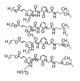 CCOC(=O)/C=C/CC[C@H](NC(=O)CCC(=O)O)C(=O)Nc1cccn(CC(=O)NCCN(CC)CC)c1=O.CCOC(=O)/C=C/CC[C@H](NC(C)=O)C(=O)Nc1cccn(CC(=O)NCCN(C)C)c1=O.COC(=O)/C=C/CC[C@H](NC(C)=O)C(=O)Nc1cccn(CC(=O)NCCC(C)C)c1=O.COC(=O)/C=C/CC[C@H](NC(C)=O)C(=O)Nc1cccn(CC(=O)NCCC(C)C)c1=O